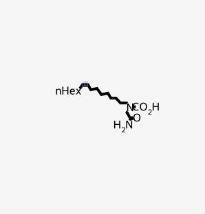 CCCCCC/C=C\CCCCCCCCN(CC(N)=O)C(=O)O